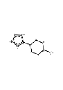 CC(C)C1CCC(c2nnco2)CC1